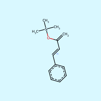 C=C(/C=C/c1ccccc1)O[Si](C)(C)C